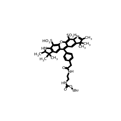 CC1=NC2C(=CC3=C(c4ccc(CC(=O)NCCNC(=O)OC(C)(C)C)cc4)c4cc5c(c(S(=O)(=O)O)c4OC3=C2S(=O)(=O)O)NC(C)C5(C)C)C1(C)C